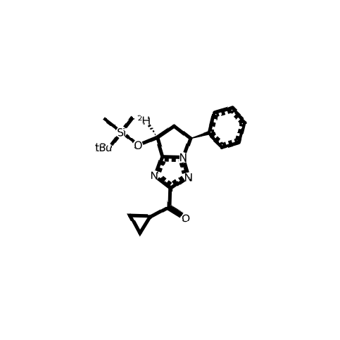 [2H][C@]1(O[Si](C)(C)C(C)(C)C)C[C@@H](c2ccccc2)n2nc(C(=O)C3CC3)nc21